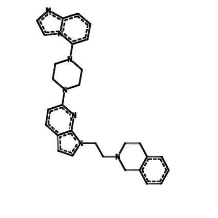 c1ccc2c(c1)CCN(CCn1ccc3ccc(N4CCN(c5cccc6nccn56)CC4)nc31)C2